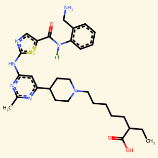 CCC(CCCCCN1CCC(c2cc(Nc3ncc(C(=O)N(Cl)c4ccccc4CN)s3)nc(C)n2)CC1)C(=O)O